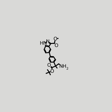 COC(=O)c1n[nH]c2ccc(-c3ccc(C(C)(CN)C(=O)OC(C)(C)C)cc3)cc12